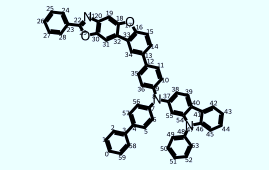 c1ccc(-c2ccc(N(c3ccc(-c4ccc5oc6cc7nc(-c8ccccc8)oc7cc6c5c4)cc3)c3ccc4c5ccccc5n(-c5ccccc5)c4c3)cc2)cc1